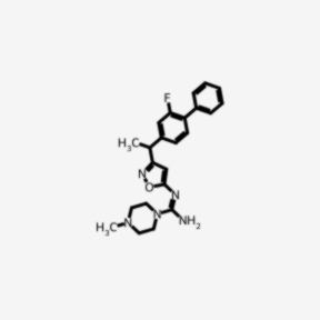 CC(c1ccc(-c2ccccc2)c(F)c1)c1cc(/N=C(/N)N2CCN(C)CC2)on1